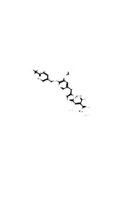 CCOc1cc(Cc2cnc3cc(C(=O)N(C)C)cnn23)cnc1OCc1ccc(C(F)(F)F)nc1